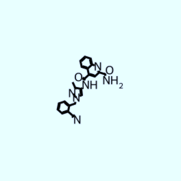 Cc1nn(Cc2ccccc2C#N)cc1NC(=O)c1cc(C(N)=O)nc2ccccc12